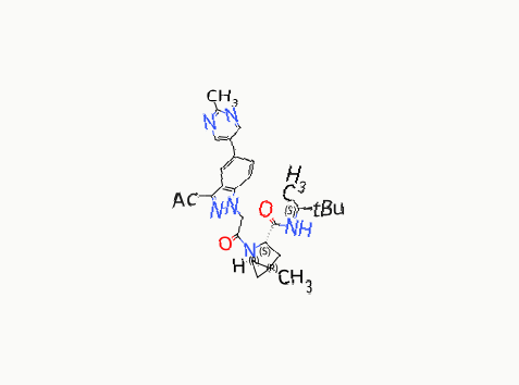 CC(=O)c1nn(CC(=O)N2[C@H](C(=O)N[C@@H](C)C(C)(C)C)C[C@@]3(C)C[C@@H]23)c2ccc(-c3cnc(C)nc3)cc12